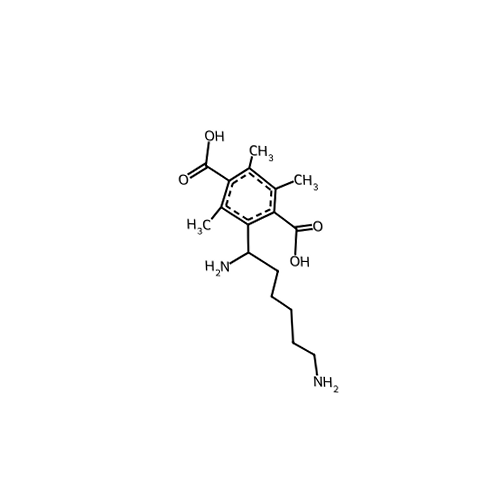 Cc1c(C)c(C(=O)O)c(C(N)CCCCCN)c(C)c1C(=O)O